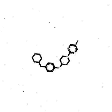 CCc1cnc(N2CCC(Oc3ccc(CC4CCCCC4)cc3)CC2)nc1